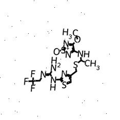 COc1n[s+]([O-])nc1NC(C)SCc1csc(N/C(N)=N\CC(F)(F)F)n1